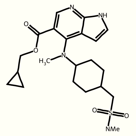 CNS(=O)(=O)CC1CCC(N(C)c2c(C(=O)OCC3CC3)cnc3[nH]ccc23)CC1